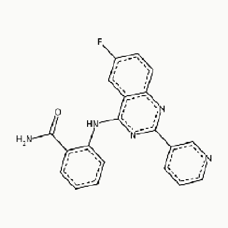 NC(=O)c1ccccc1Nc1nc(-c2cccnc2)nc2ccc(F)cc12